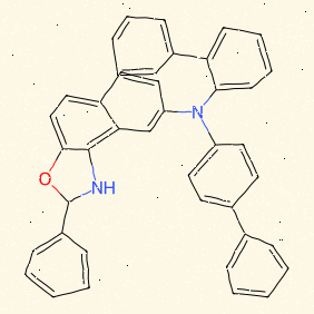 c1ccc(-c2ccc(N(c3ccc4ccc5c(c4c3)NC(c3ccccc3)O5)c3ccccc3-c3ccccc3)cc2)cc1